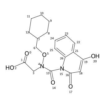 O=C(O)CN(OCC1CCCCC1)C(=O)n1c(=O)cc(O)c2ccccc21